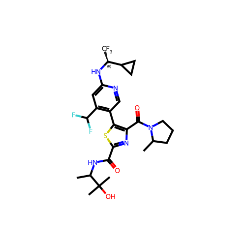 CC1CCCN1C(=O)c1nc(C(=O)NC(C)C(C)(C)O)sc1-c1cnc(N[C@H](C2CC2)C(F)(F)F)cc1C(F)F